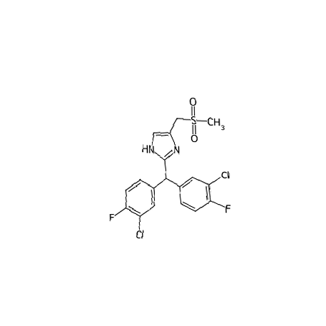 CS(=O)(=O)Cc1c[nH]c(C(c2ccc(F)c(Cl)c2)c2ccc(F)c(Cl)c2)n1